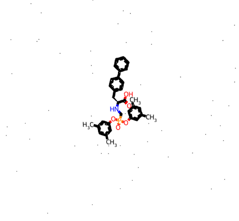 Cc1cc(C)cc(OP(=O)(CN[C@@H](Cc2ccc(-c3ccccc3)cc2)C(=O)O)Oc2cc(C)cc(C)c2)c1